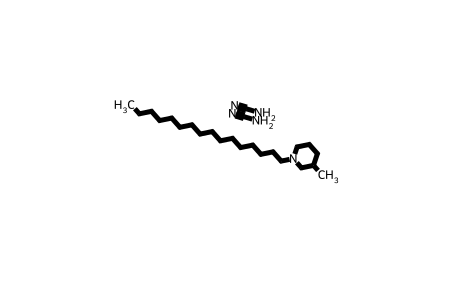 CCCCCCCCCCCCCCCCN1CCCC(C)C1.N#CN.N#CN